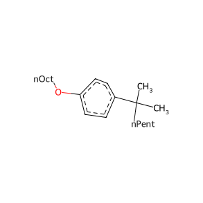 CCCCCCCCOc1ccc(C(C)(C)CCCCC)cc1